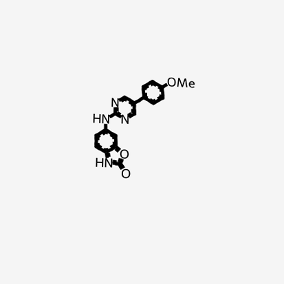 COc1ccc(-c2cnc(Nc3ccc4[nH]c(=O)oc4c3)nc2)cc1